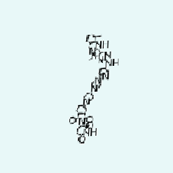 Cc1cccc(C)c1Nc1nn(C)c2nc(Nc3ccc(N4CCN(C5CCN(c6ccc7c(c6)C(=O)N(C6CCC(=O)NC6=O)C7=O)CC5)CC4)nc3)ncc12